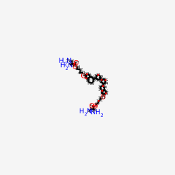 CC(N)(CN)C(=O)OCCCCCOc1ccc2c(c1)CCC(c1cccc(-c3cccc(/C4=C/c5ccc(OCCCCCOC(=O)C(N)CN)cc5CCCC4)c3)c1)=C2